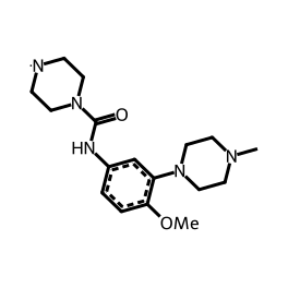 COc1ccc(NC(=O)N2CC[N]CC2)cc1N1CCN(C)CC1